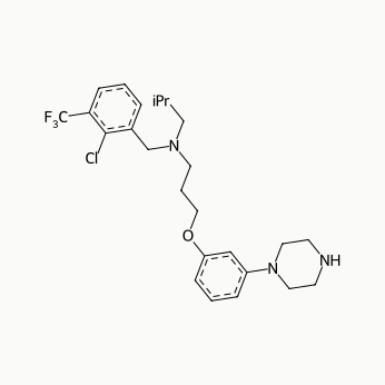 CC(C)CN(CCCOc1cccc(N2CCNCC2)c1)Cc1cccc(C(F)(F)F)c1Cl